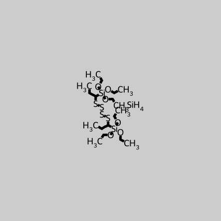 CCO[Si](OCC)(OCC)C(CC)SSSSC(CC)[Si](OCC)(OCC)OCC.[SiH4]